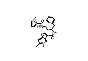 Cc1cc2occ(C(=O)N(C)C(CCNC(=O)c3cccn3C)Cc3ccccc3)c2cc1C